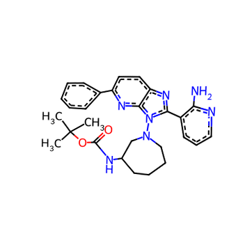 CC(C)(C)OC(=O)NC1CCCCN(n2c(-c3cccnc3N)nc3ccc(-c4ccccc4)nc32)C1